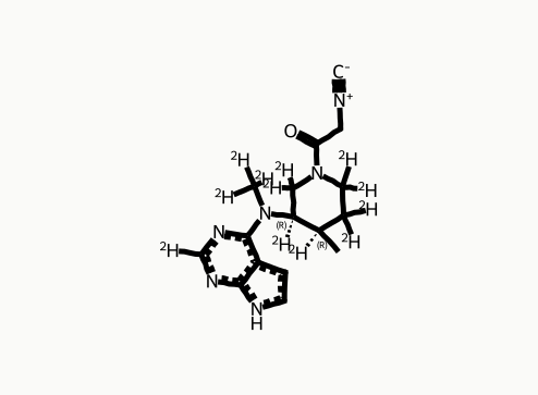 [2H]c1nc(N(C([2H])([2H])[2H])[C@@]2([2H])C([2H])([2H])N(C(=O)C[N+]#[C-])C([2H])([2H])C([2H])([2H])[C@@]2([2H])C)c2cc[nH]c2n1